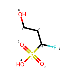 O=S(=O)(O)C(F)CCO